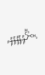 CC(C)CC(F)(F)C(F)(F)C(F)(F)C(F)(F)C(F)(F)F